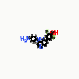 N[C@H]1CC[C@H](Nc2[c]cnc3ccc(-c4cc(F)c(O)c(F)c4)cc23)CC1